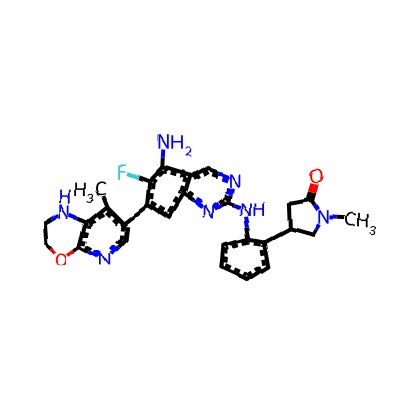 Cc1c(-c2cc3nc(Nc4ccccc4C4CC(=O)N(C)C4)ncc3c(N)c2F)cnc2c1NCCO2